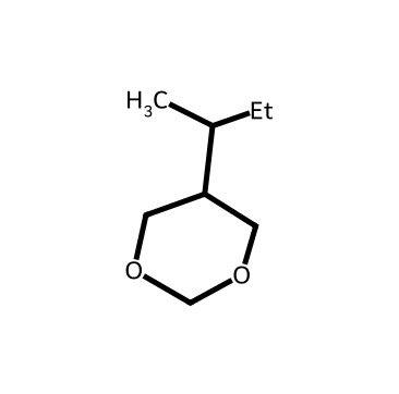 CCC(C)C1COCOC1